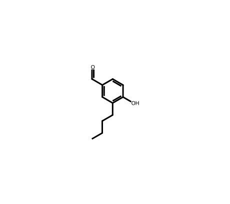 CCCCc1cc(C=O)ccc1O